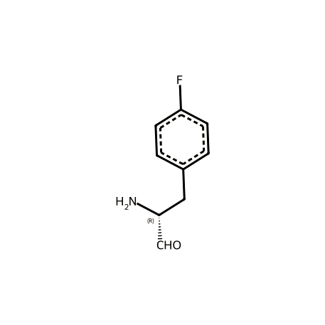 N[C@@H](C=O)Cc1ccc(F)cc1